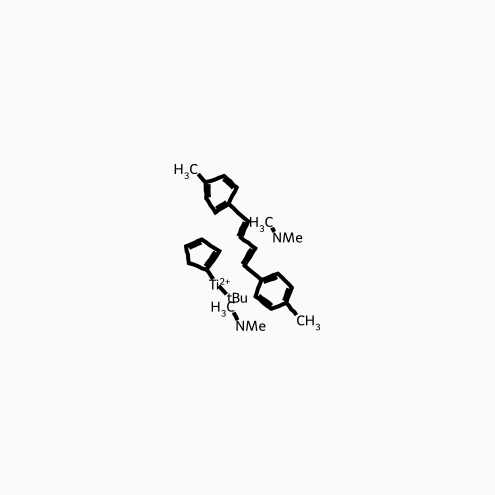 C[C](C)(C)[Ti+2][C]1=CC=CC1.C[N-]C.C[N-]C.Cc1ccc(C=CC=Cc2ccc(C)cc2)cc1